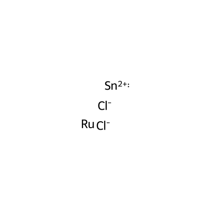 [Cl-].[Cl-].[Ru].[Sn+2]